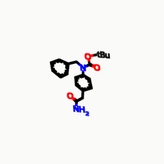 CC(C)(C)OC(=O)N(Cc1ccccc1)c1ccc(CC(N)=O)cc1